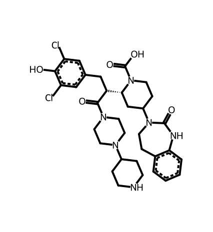 O=C(C(Cc1cc(Cl)c(O)c(Cl)c1)[C@H]1CC(N2CCc3ccccc3NC2=O)CCN1C(=O)O)N1CCN(C2CCNCC2)CC1